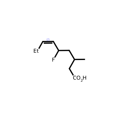 CC/C=C\C(F)CC(C)CC(=O)O